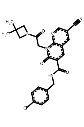 CC1(C)CN(C(=O)Cn2c(=O)c(C(=O)NCc3ccc(Cl)cc3)cc3cc(C#N)cnc32)C1